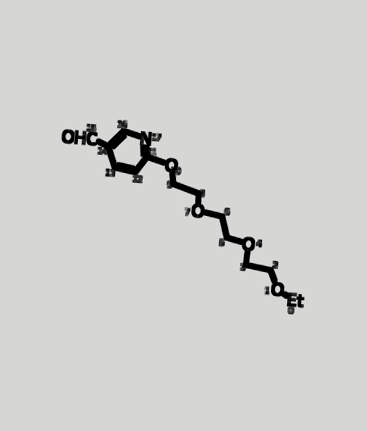 CCOCCOCCOCCOc1ccc(C=O)cn1